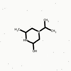 CC1CN(C(C)C)CC(O)N1